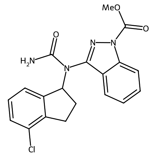 COC(=O)n1nc(N(C(N)=O)C2CCc3c(Cl)cccc32)c2ccccc21